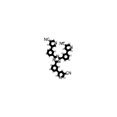 N#Cc1cncc(-c2cccc(-c3nc(-c4cccc(-c5cncc(C#N)c5)c4)nc(-c4cccc(-c5cncc(C#N)c5)c4)n3)c2)c1